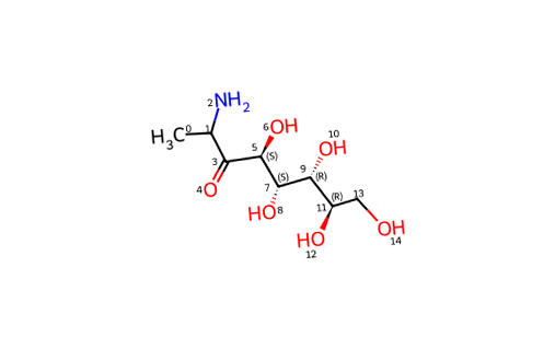 CC(N)C(=O)[C@@H](O)[C@@H](O)[C@H](O)[C@H](O)CO